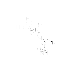 CC(C)(C)OC(=O)N(C1CC1)C1CCN(C2(CC#N)CN(S(N)(=O)=O)C2)CC1